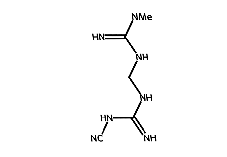 CNC(=N)NCNC(=N)NC#N